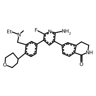 CCN(C)Cc1cc(-c2cc(-c3ccc4c(c3)CCNC4=O)c(N)nc2F)ccc1C1CCOCC1